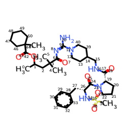 CC(CC(C)(C)C(=O)/N=C(/N)N1CCC(CNC(=O)[C@@H]2CCCN2C(=O)[C@@H](Cc2ccccc2)NS(C)(=O)=O)CC1)OC(=O)C1(C)CCCCC1